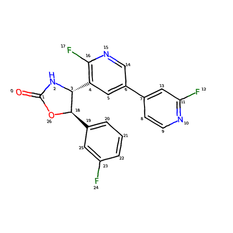 O=C1N[C@H](c2cc(-c3ccnc(F)c3)cnc2F)[C@@H](c2cccc(F)c2)O1